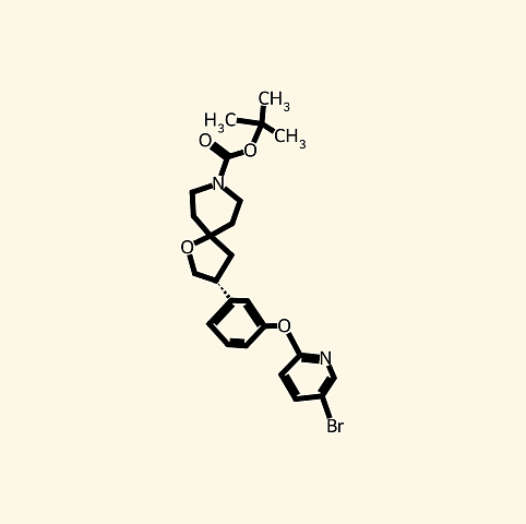 CC(C)(C)OC(=O)N1CCC2(CC1)C[C@H](c1cccc(Oc3ccc(Br)cn3)c1)CO2